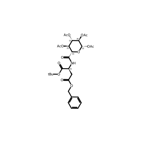 CC(=O)O[C@@H]1O[C@H](C(=O)N[C@@H](CC(=O)OCc2ccccc2)C(=O)OC(C)(C)C)[C@@H](OC(C)=O)[C@H](OC(C)=O)[C@H]1OC(C)=O